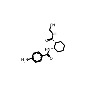 N#CCNC(=O)[C@@H]1CCCC[C@@H]1NC(=O)c1ccc(N)cc1